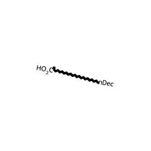 C=C(CCCCCCCCCCCCCCCCCCCCCCCCCCCCCCC)C(=O)O